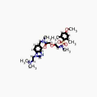 COc1cc(C)c(S(=O)(=O)N(C)CCOCC(=O)N(C)Cc2ccc3c(c2)ncn3CCN(C)C)c(C)c1